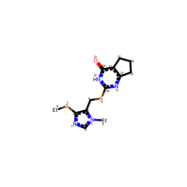 CCSc1ncn(CC)c1CSc1nc2c(c(=O)[nH]1)CCC2